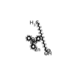 CCCCCCCCCCCCCCCCCC(=O)O.[Zn].c1ccc(OP(Oc2ccccc2)Oc2ccccc2)cc1